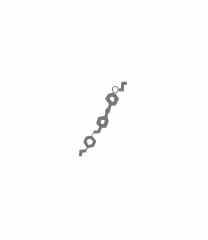 CCCOc1ccc(C#Cc2ccc(CC[C@H]3CC[C@H](CCC)CC3)cc2)cc1